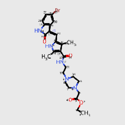 CCOC(=O)CN1CCN(CCNC(=O)c2c(C)[nH]c(/C=C3\C(=O)Nc4ccc(Br)cc43)c2C)CC1